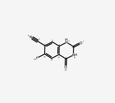 N#Cc1cc2[nH]c(=O)[nH]c(=O)c2cc1F